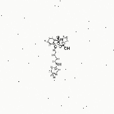 Cc1ccc(S(=O)(=O)N2CCC[C@H]2C(=O)O)c(OCCCCCNC2CCC(C)(C)CC2)c1